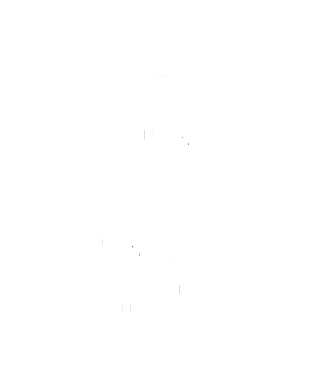 [2H]c1c([2H])c([2H])c2c(c1[2H])c(C(C)(C)C)c([2H])n2-c1ccc(-c2ccc(-n3c([2H])c(C(C)(C)C)c4c([2H])c([2H])c([2H])c([2H])c43)cc2)cc1